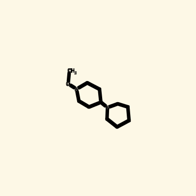 CON1CCC(N2CCCCC2)CC1